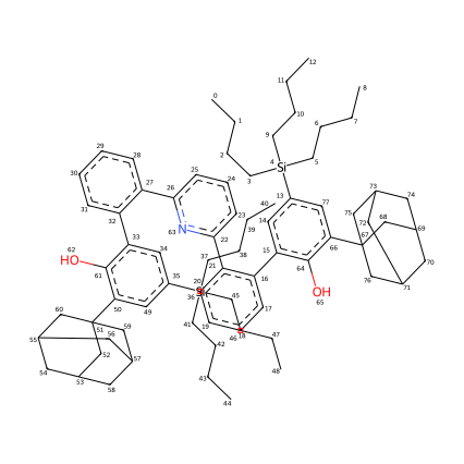 CCCC[Si](CCCC)(CCCC)c1cc(-c2ccccc2-c2cccc(-c3ccccc3-c3cc([Si](CCCC)(CCCC)CCCC)cc(C45CC6CC(CC(C6)C4)C5)c3O)n2)c(O)c(C23CC4CC(CC(C4)C2)C3)c1